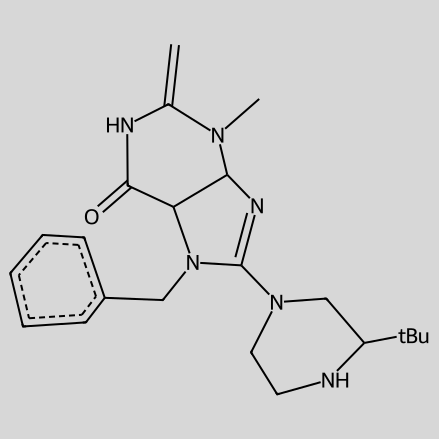 C=C1NC(=O)C2C(N=C(N3CCNC(C(C)(C)C)C3)N2Cc2ccccc2)N1C